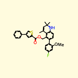 COc1cc(F)ccc1-c1ccc2c(c1COC(=O)c1cc(-c3ccccc3)cs1)C(C)=CC(C)(C)N2